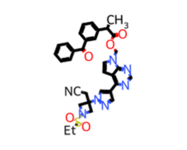 CCS(=O)(=O)N1CC(CC#N)(n2cc(-c3ncnc4c3ccn4COC(=O)C(C)c3cccc(C(=O)c4ccccc4)c3)cn2)C1